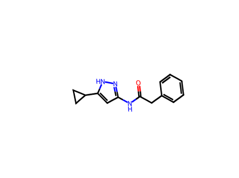 O=C(Cc1ccccc1)Nc1cc(C2CC2)[nH]n1